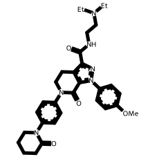 CCN(CC)CCNC(=O)c1nn(-c2ccc(OC)cc2)c2c1CCN(c1ccc(N3CCCCC3=O)cc1)C2=O